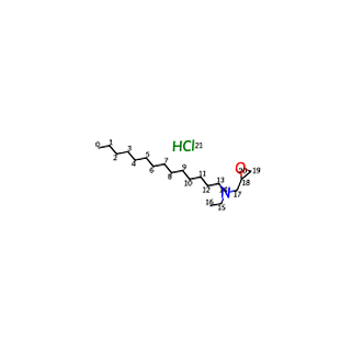 CCCCCCCCCCCCCCN(CC)CC1CO1.Cl